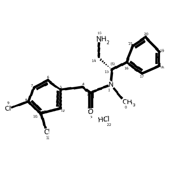 CN(C(=O)Cc1ccc(Cl)c(Cl)c1)[C@H](CN)c1ccccc1.Cl